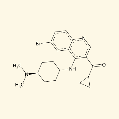 CN(C)[C@H]1CC[C@H](Nc2c(C(=O)C3CC3)cnc3ccc(Br)cc23)CC1